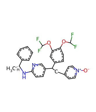 C[C@@H](Nc1ccc(C(Cc2cc[n+]([O-])cc2)c2ccc(OC(F)F)c(OC(F)F)c2)cn1)c1ccccc1